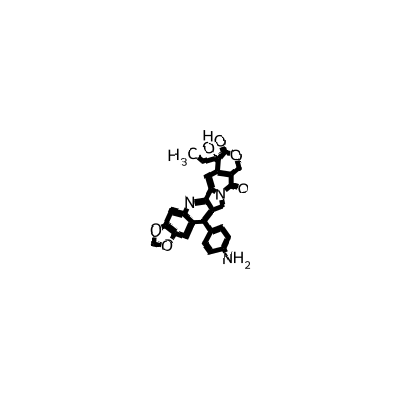 CC[C@@]1(O)C(=O)OCc2c1cc1n(c2=O)Cc2c-1nc1cc3c(cc1c2-c1ccc(N)cc1)OCO3